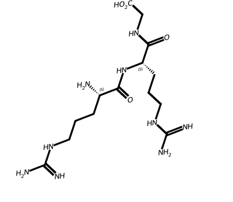 N=C(N)NCCC[C@H](NC(=O)[C@@H](N)CCCNC(=N)N)C(=O)NCC(=O)O